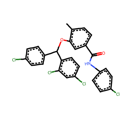 Cc1ccc(C(=O)Nc2ccc(Cl)cc2)cc1OC(c1ccc(Cl)cc1)c1ccc(Cl)cc1Cl